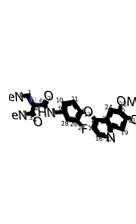 CN/C=C(\C(=O)NC)C(=O)Nc1ccc(Oc2ccnc3cc(OC)c(OC)cc23)c(F)c1